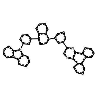 c1cc(-c2cnc3c4ccccc4c4ccccc4c3n2)cc(-c2ccc(-c3cccc(-n4c5ccccc5c5ccccc54)c3)c3ccccc23)c1